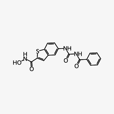 O=C(NC(=O)c1ccccc1)Nc1ccc2sc(C(=O)NO)cc2c1